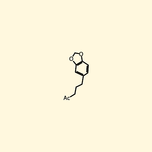 CC(=O)CCCc1ccc2c(c1)OCO2